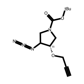 C#CCO[C@H]1CN(C(=O)OC(C)(C)C)CC1N=[N+]=[N-]